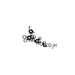 Cc1cc(F)ccc1Oc1cc(Cl)c(Cl)cc1C(=O)Nc1cnn(COC(=O)/C=C\C(=O)O)c(=O)c1